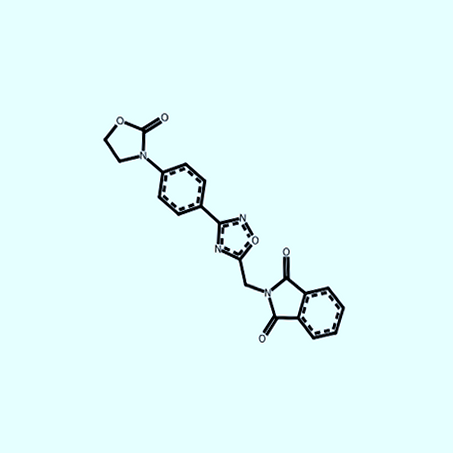 O=C1c2ccccc2C(=O)N1Cc1nc(-c2ccc(N3CCOC3=O)cc2)no1